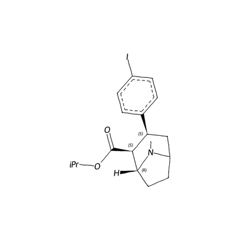 CC(C)OC(=O)[C@H]1[C@@H](c2ccc(I)cc2)CC2CC[C@H]1N2C